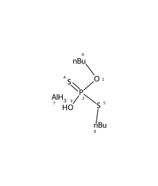 CCCCOP(O)(=S)SCCCC.[AlH3]